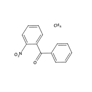 C.O=C(c1ccccc1)c1ccccc1[N+](=O)[O-]